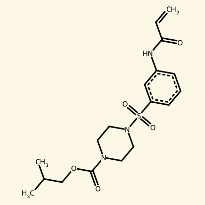 C=CC(=O)Nc1cccc(S(=O)(=O)N2CCN(C(=O)OCC(C)C)CC2)c1